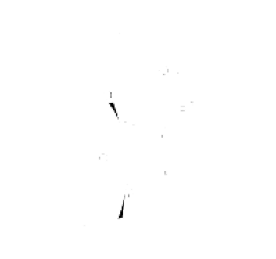 CC[C@@H]1CC(F)[C@H](OC(C)=O)O1